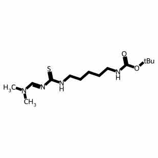 CN(C)C=NC(=S)NCCCCCNC(=O)OC(C)(C)C